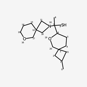 CC1CC2(CCC(C(C)(S)N3CC4(CCCOC4)C3)OC2)C1